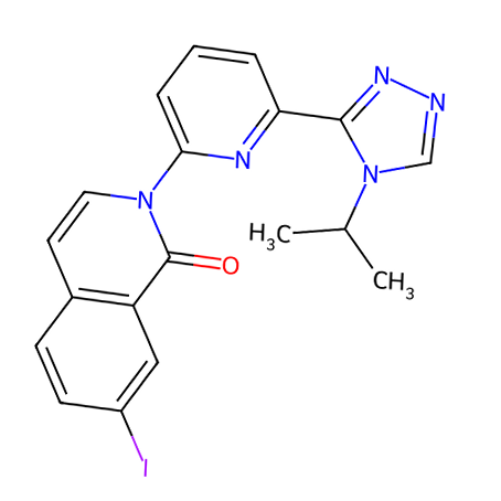 CC(C)n1cnnc1-c1cccc(-n2ccc3ccc(I)cc3c2=O)n1